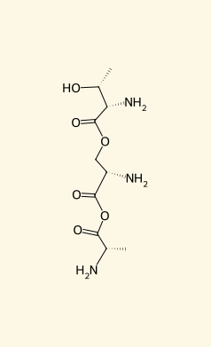 C[C@H](N)C(=O)OC(=O)[C@@H](N)COC(=O)[C@@H](N)[C@@H](C)O